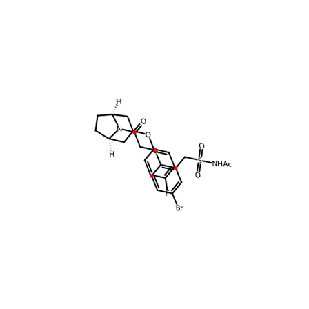 CC(=O)NS(=O)(=O)Cc1cc(Br)ccc1OCC(=O)N1[C@@H]2CC[C@H]1CC(Oc1ccc(F)cc1)C2